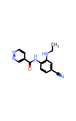 CCNc1cc(C#N)ccc1NC(=O)c1ccnnc1